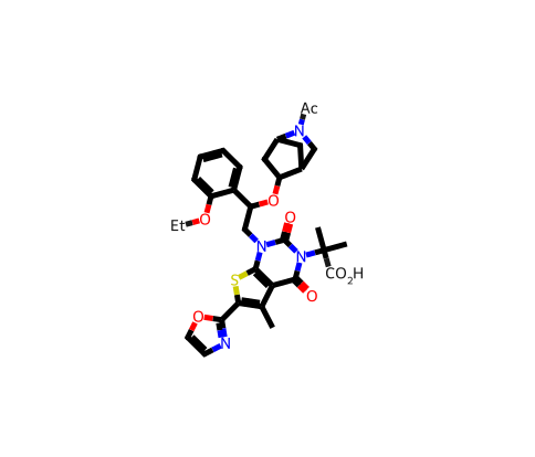 CCOc1ccccc1C(Cn1c(=O)n(C(C)(C)C(=O)O)c(=O)c2c(C)c(-c3ncco3)sc21)OC1CC2CC1CN2C(C)=O